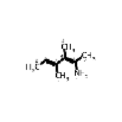 C/C=C(C)/C(C)=C(/C)N